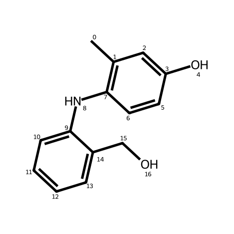 Cc1cc(O)ccc1Nc1ccccc1CO